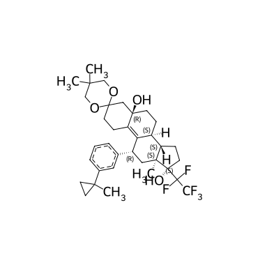 CC1(C)COC2(CCC3=C4[C@@H](CC[C@@]3(O)C2)[C@@H]2CC[C@@](O)(C(F)(F)C(F)(F)F)[C@@]2(C)C[C@@H]4c2cccc(C3(C)CC3)c2)OC1